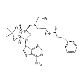 CC(C)CN(CCNC(=O)OCc1ccccc1)C[C@H]1O[C@@H](n2cnc3c(N)ncnc32)[C@@H]2OC(C)(C)O[C@@H]21